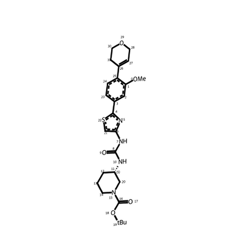 COc1cc(-c2nc(NC(=O)N[C@H]3CCCN(C(=O)OC(C)(C)C)C3)cs2)ccc1C1=CCOCC1